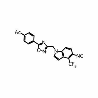 [C-]#[N+]c1ccc2c(ccn2Cc2noc(-c3ccc(C(C)=O)cc3)n2)c1C(F)(F)F